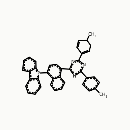 Cc1ccc(-c2nc(C3=CCC(C)C=C3)nc(-c3ccc(-p4c5ccccc5c5ccccc54)c4ccccc34)n2)cc1